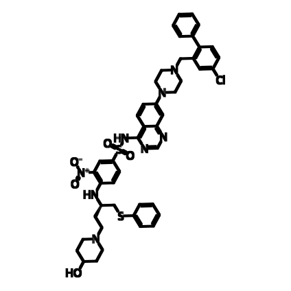 O=[N+]([O-])c1cc(S(=O)(=O)Nc2ncnc3cc(N4CCN(Cc5cc(Cl)ccc5-c5ccccc5)CC4)ccc23)ccc1N[C@H](CCN1CCC(O)CC1)CSc1ccccc1